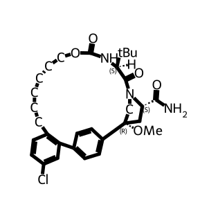 CO[C@@]12C[C@@H](C(N)=O)N(C1)C(=O)[C@H](C(C)(C)C)NC(=O)OCCCCCCc1ccc(Cl)cc1-c1ccc2cc1